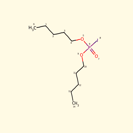 CCCCCOP(=O)(I)OCCCCC